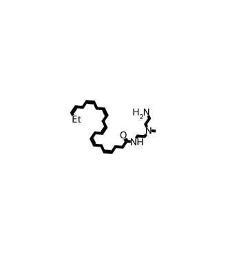 CC/C=C\C/C=C\C/C=C\C/C=C\C/C=C\C/C=C\CCC(=O)NCCN(C)CCN